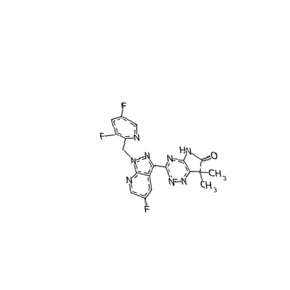 CC1(C)C(=O)Nc2nc(-c3nn(Cc4ncc(F)cc4F)c4ncc(F)cc34)nnc21